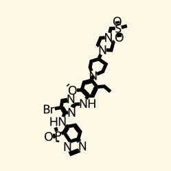 CCc1cc(Nc2ncc(Br)c(Nc3ccc4nccnc4c3P(C)(C)=O)n2)c(OC)cc1N1CCC(N2CCN(CS(C)(=O)=O)CC2)CC1